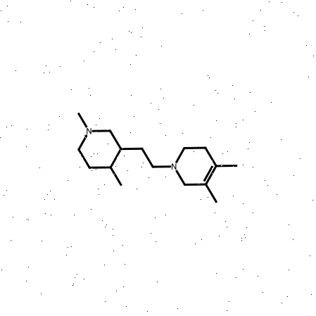 CC1=C(C)CN(CCC2CN(C)CCC2C)CC1